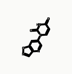 O=c1ccn(-c2cnc3cnoc3c2)c(=O)[nH]1